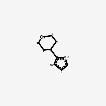 c1csc(C2CCOCC2)c1